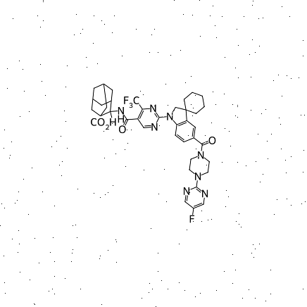 O=C(NC1(C(=O)O)C2CC3CC(C2)CC1C3)c1cnc(N2CC3(CCCCC3)c3cc(C(=O)N4CCN(c5ncc(F)cn5)CC4)ccc32)nc1C(F)(F)F